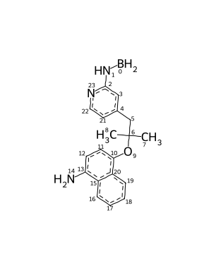 BNc1cc(CC(C)(C)Oc2ccc(N)c3ccccc23)ccn1